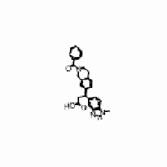 Cn1nnc2cc(C(CC(=O)O)c3ccc4c(c3)CN(C(=O)c3ccccc3)CC4)ccc21